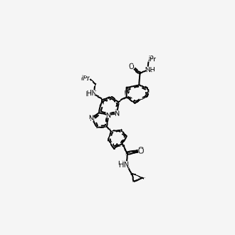 CC(C)CNc1cc(-c2cccc(C(=O)NC(C)C)c2)nn2c(-c3ccc(C(=O)NC4CC4)cc3)cnc12